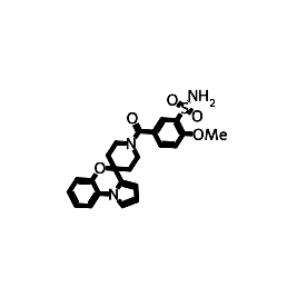 COc1ccc(C(=O)N2CCC3(CC2)Oc2ccccc2-n2cccc23)cc1S(N)(=O)=O